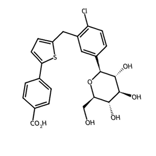 O=C(O)c1ccc(-c2ccc(Cc3cc([C@@H]4O[C@H](CO)[C@@H](O)[C@H](O)[C@H]4O)ccc3Cl)s2)cc1